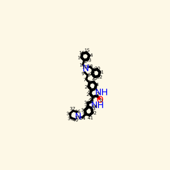 O=c1[nH]c2ccc(CCCN(Cc3ccccc3)Cc3ccccc3)cc2cc1-c1cc2cc(CN3CCCCC3)ccc2[nH]1